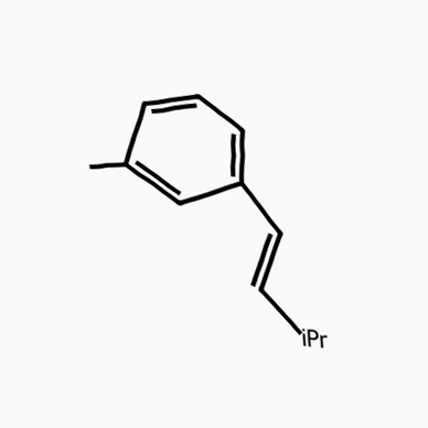 Cc1cccc(C=CC(C)C)c1